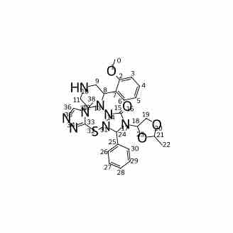 COc1ccccc1C1CNCCN1N1C(=O)N(C2COC(C)O2)C(c2ccccc2)N1Sc1nncn1C